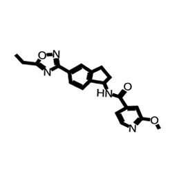 CCc1nc(-c2ccc3c(c2)CCC3NC(=O)c2ccnc(OC)c2)no1